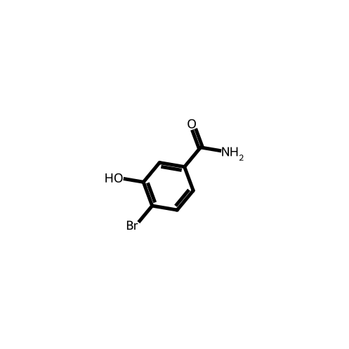 NC(=O)c1ccc(Br)c(O)c1